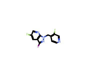 Fc1cnc2c(c1)c(I)nn2Cc1ccncc1F